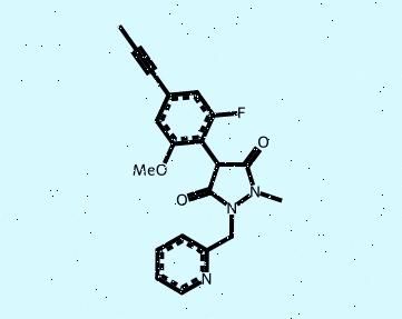 CC#Cc1cc(F)c(C2C(=O)N(C)N(Cc3ccccn3)C2=O)c(OC)c1